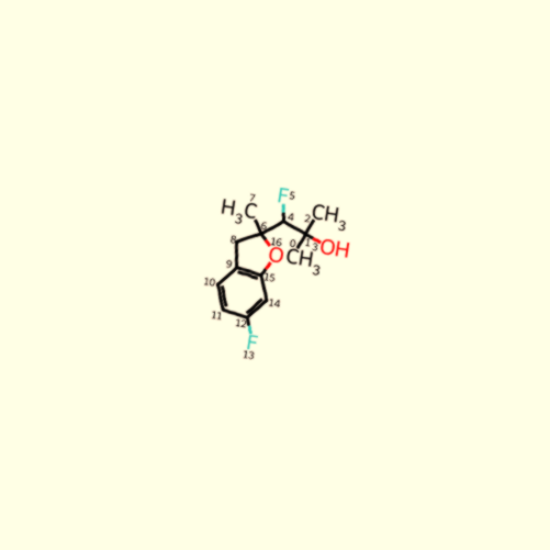 CC(C)(O)C(F)C1(C)Cc2ccc(F)cc2O1